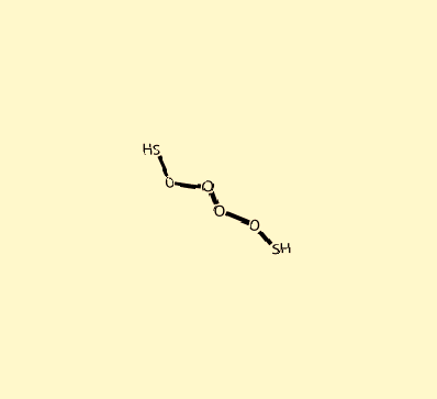 SOOOOS